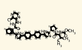 COC(=O)N[C@H](C(=O)N1CCC[C@H]1c1ncc(-c2ccc(-c3ccc(-c4cnc(C5C6CCC(C6)[C@@H]5C(=O)NNc5nccnc5Cl)[nH]4)cc3)cc2)[nH]1)C(C)C